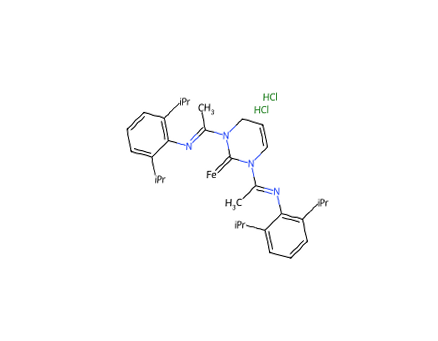 CC(=Nc1c(C(C)C)cccc1C(C)C)N1C=CCN(C(C)=Nc2c(C(C)C)cccc2C(C)C)[C]1=[Fe].Cl.Cl